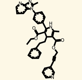 CCOC(=O)C1=C(c2ccc(-n3c(C)nc4ncccc43)cc2)NC(C)=C(C(=O)OCC#Cc2cccnc2)C1CCc1ccccc1